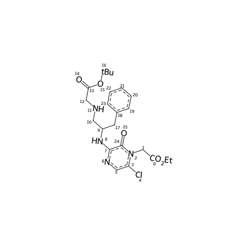 CCOC(=O)Cn1c(Cl)cnc(NC(CNCC(=O)OC(C)(C)C)Cc2ccccc2)c1=O